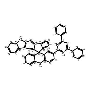 c1ccc(-c2nc(-c3ccccc3)nc(-c3ccc4c(c3)C3(c5ccccc5S4)c4ccccc4-c4cc5oc6ccccc6c5cc43)n2)cc1